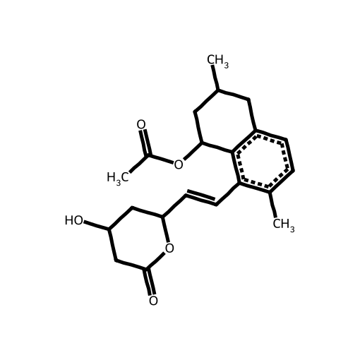 CC(=O)OC1CC(C)Cc2ccc(C)c(C=CC3CC(O)CC(=O)O3)c21